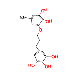 CCc1cc(O)c(O)c(OCCCc2cc(O)c(O)c(O)c2)c1